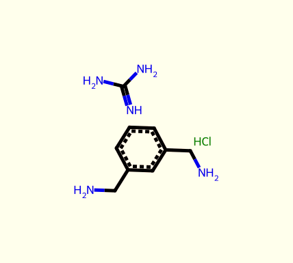 Cl.N=C(N)N.NCc1cccc(CN)c1